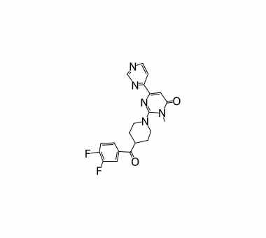 Cn1c(N2CCC(C(=O)c3ccc(F)c(F)c3)CC2)nc(-c2ccncn2)cc1=O